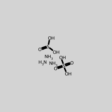 N.N.N.O=S(=O)(O)O.O=S(O)O